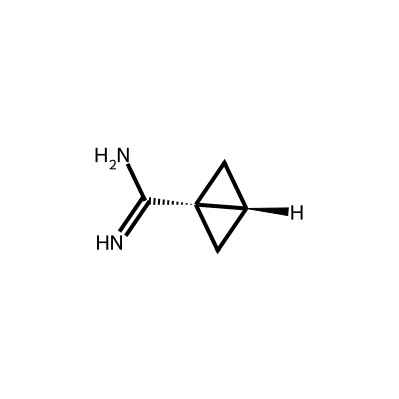 N=C(N)[C@]12C[C@@H]1C2